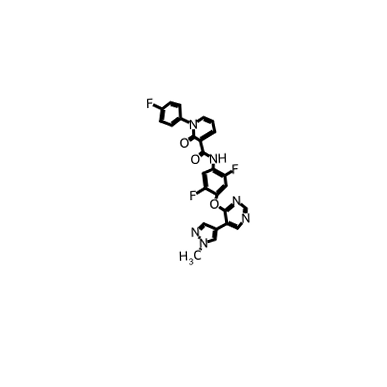 Cn1cc(-c2cncnc2Oc2cc(F)c(NC(=O)c3cccn(-c4ccc(F)cc4)c3=O)cc2F)cn1